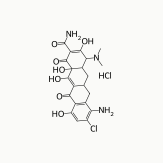 CN(C)C1C(O)=C(C(N)=O)C(=O)C2(O)C(O)=C3C(=O)c4c(O)cc(Cl)c(N)c4CC3CC12.Cl